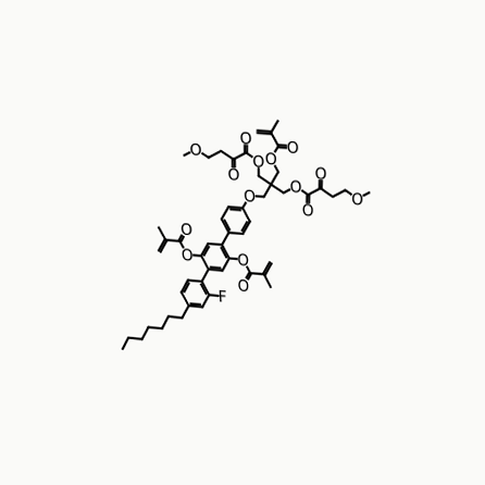 C=C(C)C(=O)OCC(COC(=O)C(=O)CCOC)(COC(=O)C(=O)CCOC)COc1ccc(-c2cc(OC(=O)C(=C)C)c(-c3ccc(CCCCCCC)cc3F)cc2OC(=O)C(=C)C)cc1